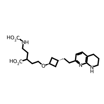 O=C(O)NCCC(CCO[C@H]1C[C@H](CCc2ccc3c(n2)NCCC3)C1)C(=O)O